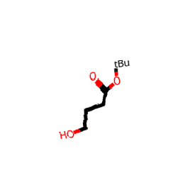 CC(C)(C)OC(=O)CCCO